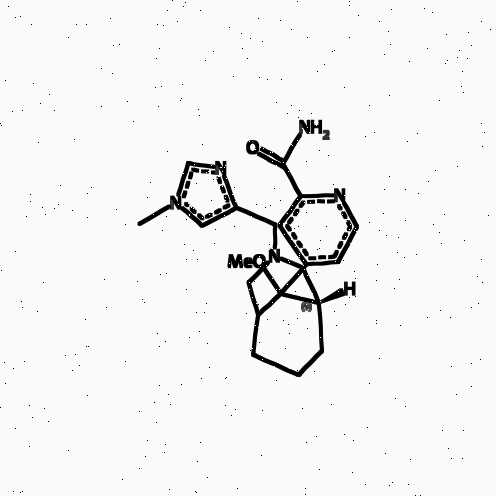 COC1(c2ccnc(C(N)=O)c2)C2CCC[C@H]1CN(Cc1cn(C)cn1)C2